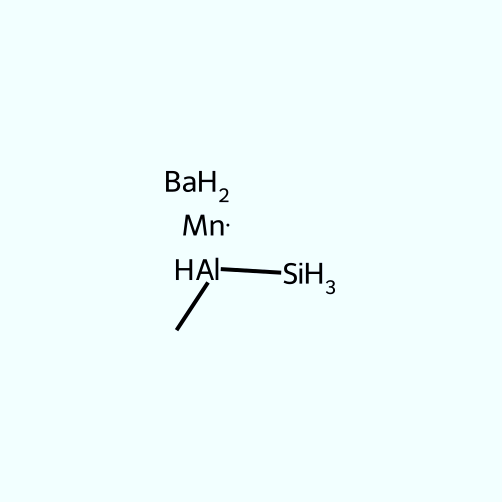 [BaH2].[CH3][AlH][SiH3].[Mn]